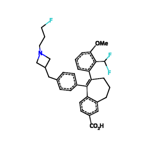 COc1cccc(C2=C(c3ccc(CC4CN(CCCF)C4)cc3)c3ccc(C(=O)O)cc3CCC2)c1C(F)F